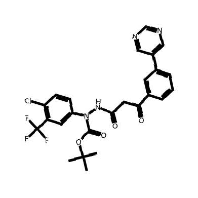 CC(C)(C)OC(=O)N(NC(=O)CC(=O)c1cccc(-c2cncnc2)c1)c1ccc(Cl)c(C(F)(F)F)c1